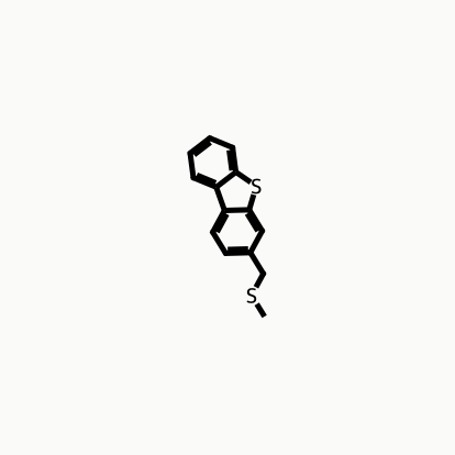 CSCc1ccc2c(c1)sc1ccccc12